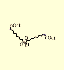 [CH2]CN(C(=O)CCCCCCC/C=C\CCCCCCCC)C(=O)CCCCCCC/C=C\CCCCCCCC